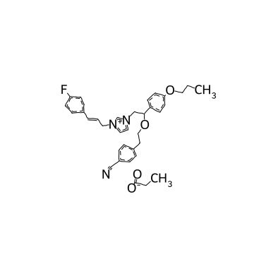 CCC(=O)[O-].CCCOc1ccc(C(Cn2cc[n+](CC=Cc3ccc(F)cc3)c2)OCCc2ccc(C#N)cc2)cc1